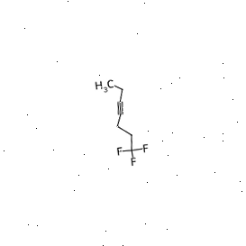 CCC#CCCC(F)(F)F